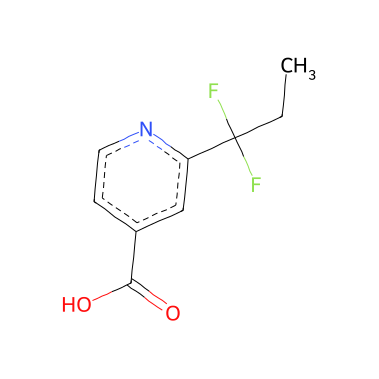 CCC(F)(F)c1cc(C(=O)O)ccn1